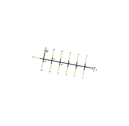 FC(F)(F)C(F)(F)C(F)(F)C(F)(F)C(F)(F)C(F)(F)[C](F)(F)[Sb]